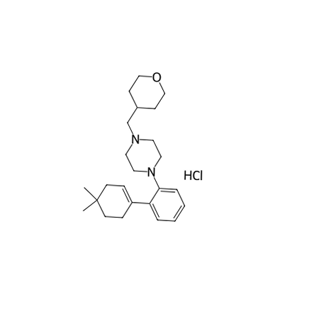 CC1(C)CC=C(c2ccccc2N2CCN(CC3CCOCC3)CC2)CC1.Cl